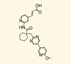 COc1ccc(-c2cnc(CC3(C(=O)Nc4cc(/C=C/C(=O)O)ccn4)CCCCC3)nc2)cn1